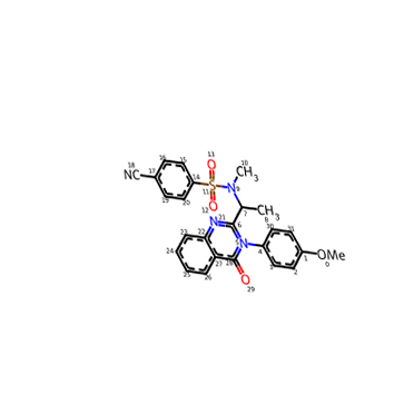 COc1ccc(-n2c(C(C)N(C)S(=O)(=O)c3ccc(C#N)cc3)nc3ccccc3c2=O)cc1